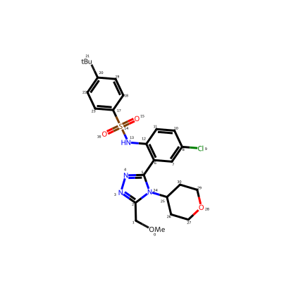 COCc1nnc(-c2cc(Cl)ccc2NS(=O)(=O)c2ccc(C(C)(C)C)cc2)n1C1CCOCC1